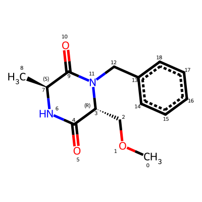 COC[C@@H]1C(=O)N[C@@H](C)C(=O)N1Cc1ccccc1